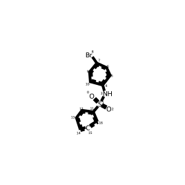 O=S(=O)(Nc1ccc(Br)cc1)c1ccccc1